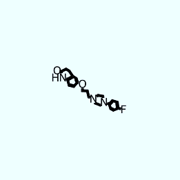 O=C1CCc2cc(OCCCN3CCN(c4ccc(F)cc4)CC3)ccc2N1